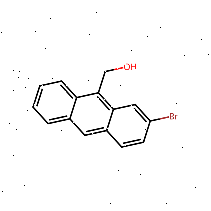 OCc1c2ccccc2cc2ccc(Br)cc12